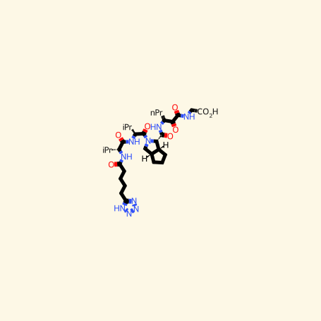 CCCC(NC(=O)[C@@H]1[C@H]2CCC[C@H]2CN1C(=O)[C@@H](NC(=O)[C@H](NC(=O)CCCCc1nnn[nH]1)C(C)C)C(C)C)C(=O)C(=O)NCC(=O)O